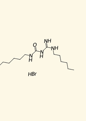 Br.CCCCCCNC(=N)NC(=O)NCCCCCC